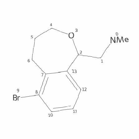 CNCC1OCCCc2c(Br)cccc21